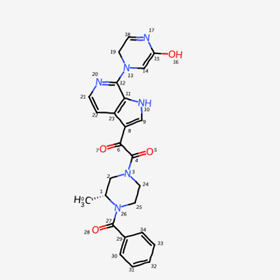 C[C@@H]1CN(C(=O)C(=O)c2c[nH]c3c(N4C=C(O)N=CC4)nccc23)CCN1C(=O)c1ccccc1